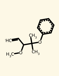 [CH]=CC(OC)C(C)(C)Oc1ccccc1